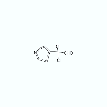 O=CC(Cl)(Cl)c1ccncc1